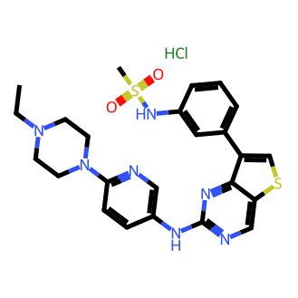 CCN1CCN(c2ccc(Nc3ncc4scc(-c5cccc(NS(C)(=O)=O)c5)c4n3)cn2)CC1.Cl